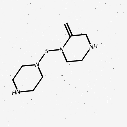 C=C1CNCCN1SN1CCNCC1